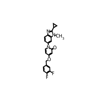 Cn1c(C2CC2)nc2ccc(-n3ccc(OCc4ccc(F)c(F)c4)cc3=O)cc21